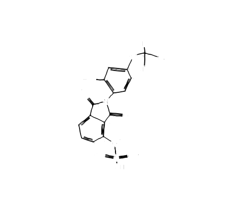 Cc1cc(OC(F)(F)F)ccc1N1C(=O)c2cccc(OS(C)(=O)=O)c2C1=O